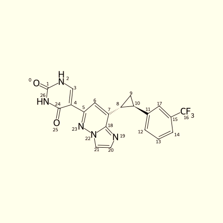 O=c1[nH]cc(-c2cc([C@@H]3C[C@H]3c3cccc(C(F)(F)F)c3)c3nccn3n2)c(=O)[nH]1